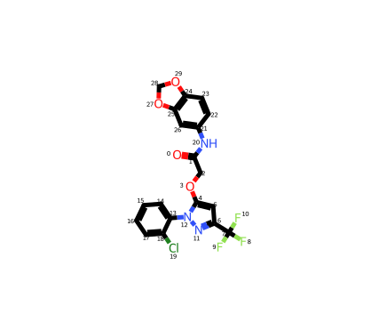 O=C(COc1cc(C(F)(F)F)nn1-c1ccccc1Cl)Nc1ccc2c(c1)OCO2